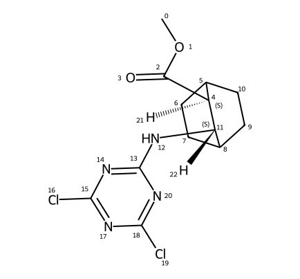 COC(=O)[C@H]1C2CCC(CC2)[C@@H]1Nc1nc(Cl)nc(Cl)n1